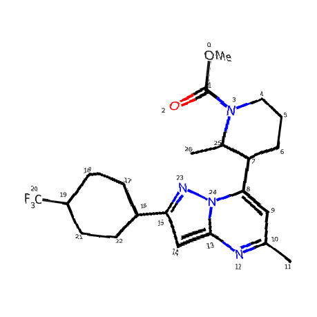 COC(=O)N1CCCC(c2cc(C)nc3cc(C4CCC(C(F)(F)F)CC4)nn23)C1C